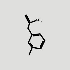 C=C(N)Cc1cccc(C)c1